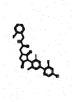 Cc1cc(-c2ncc(Cl)cc2F)cc(C)c1C1C(=O)CC(CC(=O)NCc2ccccc2F)C1=O